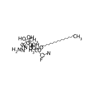 CCCCCCCCCCCCCCCCCCOCC(C)(COP(=O)(O)OC[C@@]1(C)O[C@@H](c2ccc3c(N)ncnn23)[C@H](O)[C@@H]1O)OCc1cc(F)cc(C#N)c1